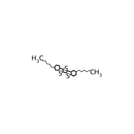 CCCCCCc1ccc2c(c1)sc1c2sc2c3cc(CCCCCC)ccc3sc21